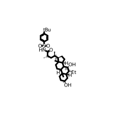 CC[C@H]1[C@@H](O)C2[C@@H]3CC[C@H]([C@H](C)C[C@H](C)C(=O)NS(=O)(=O)c4ccc(C(C)(C)C)cc4)C3(C)CC[C@@H]2C2(C)CC[C@@H](O)C[C@@H]12